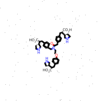 O=C(O)[C@@H](Cc1ccc(CC(=O)N(CCOc2ccc(C[C@H](C(=O)O)[C@H]3CCNC3)cc2)Cc2ccc(C[C@H](C(=O)O)[C@H]3CCNC3)cc2)cc1)[C@H]1CCNC1